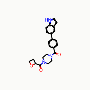 O=C(c1ccc(-c2ccc3[nH]ccc3c2)cc1)N1CCN(C(=O)C2CCO2)CC1